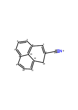 N#CC1=Cc2cccc3cccc(c23)C1